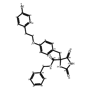 CC(=O)c1ccc(CCOc2ccc(CC3(C(=O)OCc4ccccc4)SC(=O)NC3=O)cc2)nc1